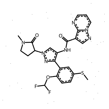 CSc1ccc(OC(F)F)c(-c2nn(C3CCN(C)C3=O)cc2NC(=O)c2cnn3cccnc23)c1